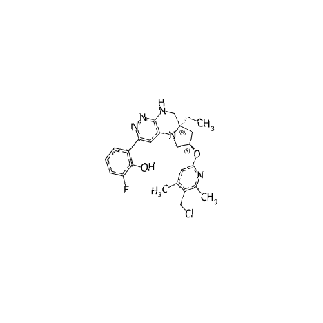 CC[C@@]12CNc3nnc(-c4cccc(F)c4O)cc3N1C[C@H](Oc1cc(C)c(CCl)c(C)n1)C2